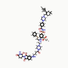 CC1(C)CCC(CN2CCN(c3ccc(C(=O)NS(=O)(=O)c4ccc(N[C@H](CCN5CCN(C(=O)CCCNc6ccc7c(c6)C(=O)N(C6CCC(=O)NC6=O)C7=O)CC5)CSc5ccccc5)c(S(=O)(=O)C(F)(F)F)c4)cc3)CC2)=C(C23CC(C)(C2)C3)C1